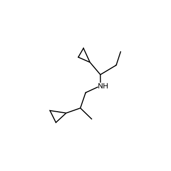 CCC(NCC(C)C1CC1)C1CC1